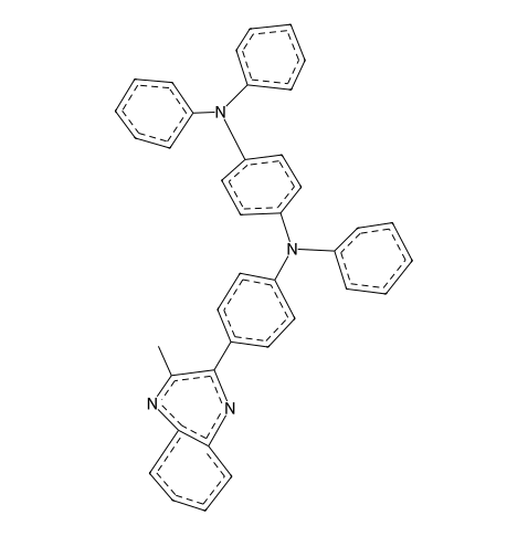 Cc1nc2ccccc2nc1-c1ccc(N(c2ccccc2)c2ccc(N(c3ccccc3)c3ccccc3)cc2)cc1